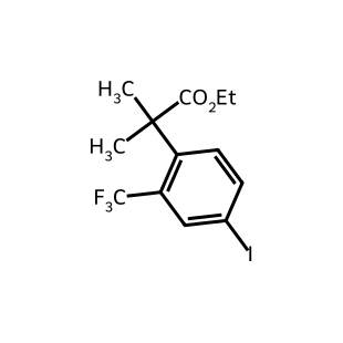 CCOC(=O)C(C)(C)c1ccc(I)cc1C(F)(F)F